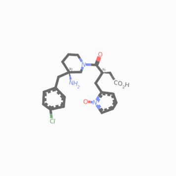 N[C@@]1(Cc2ccc(Cl)cc2)CCCN(C(=O)[C@@H](CC(=O)O)Cc2cccc[n+]2[O-])C1